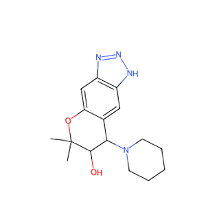 CC1(C)Oc2cc3nn[nH]c3cc2C(N2CCCCC2)C1O